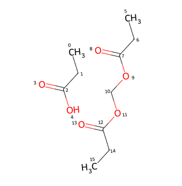 CCC(=O)O.CCC(=O)OCOC(=O)CC